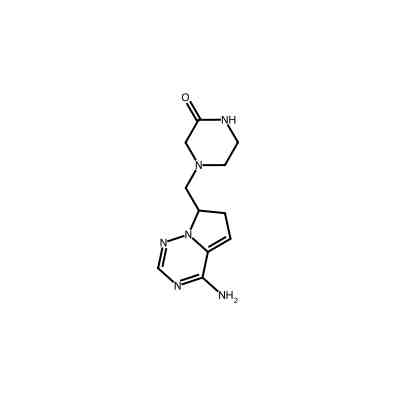 NC1=NC=NN2C1=CCC2CN1CCNC(=O)C1